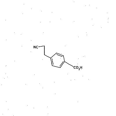 N#CCCc1ccc(C(=O)O)cc1